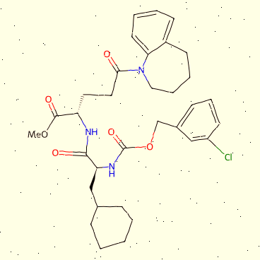 COC(=O)[C@H](CCC(=O)N1CCCCc2ccccc21)NC(=O)[C@H](CC1CCCCC1)NC(=O)OCc1cccc(Cl)c1